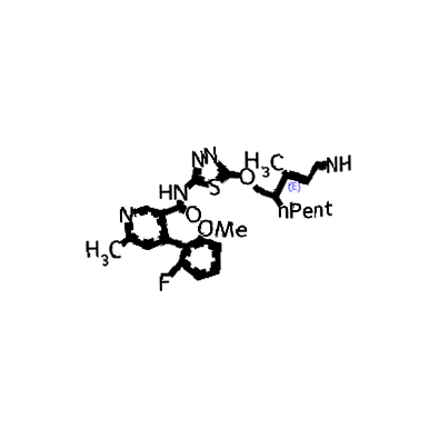 CCCCCC(COc1nnc(NC(=O)c2cnc(C)cc2-c2c(F)cccc2OC)s1)/C(C)=C/C=N